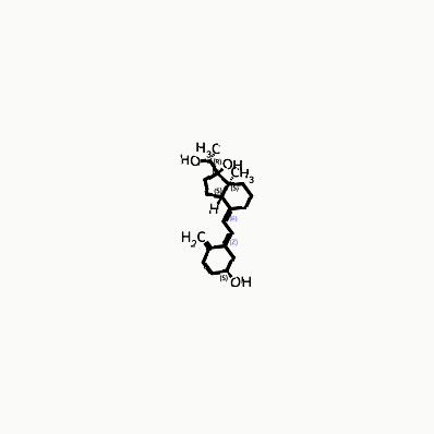 C=C1CC[C@H](O)C/C1=C/C=C1\CCC[C@@]2(C)[C@H]1CC[C@]2(O)[C@@H](C)O